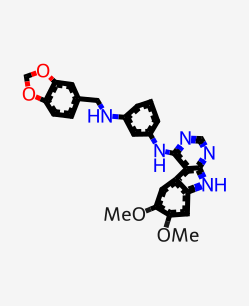 COc1cc2[nH]c3ncnc(Nc4cccc(NCc5ccc6c(c5)OCO6)c4)c3c2cc1OC